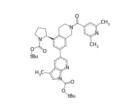 Cc1cc(C(=O)N2CCc3c(cc(-c4cnc5c(c4)c(C)cn5C(=O)OC(C)(C)C)cc3[C@@H]3CCCN3C(=O)OC(C)(C)C)C2)cc(C)n1